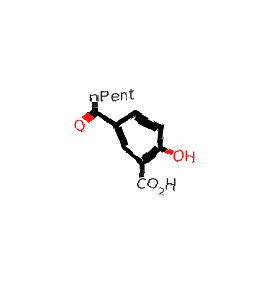 CCCCCC(=O)c1ccc(O)c(C(=O)O)c1